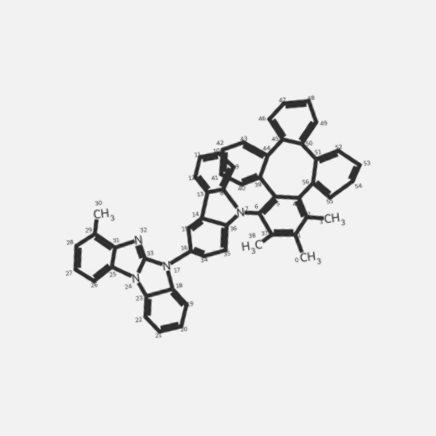 Cc1c(C)c2c(c(-n3c4ccccc4c4cc(-n5c6ccccc6n6c7cccc(C)c7nc56)ccc43)c1C)-c1ccccc1-c1ccccc1-c1ccccc1-2